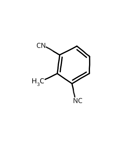 [C-]#[N+]c1cccc([N+]#[C-])c1C